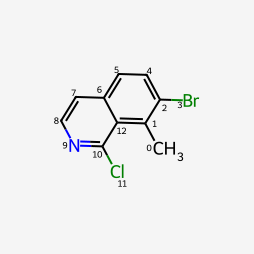 Cc1c(Br)ccc2ccnc(Cl)c12